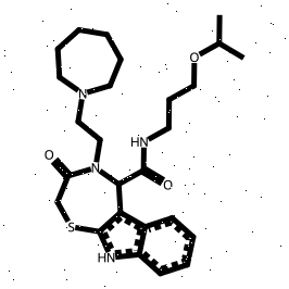 CC(C)OCCCNC(=O)C1c2c([nH]c3ccccc23)SCC(=O)N1CCN1CCCCCC1